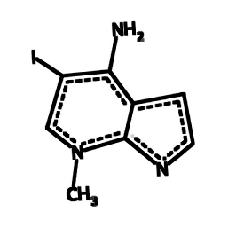 Cn1cc(I)c(N)c2ccnc1-2